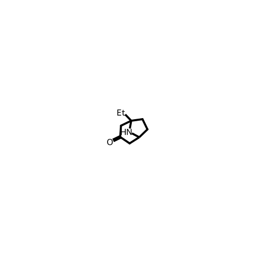 CCC12CCC(CC(=O)C1)N2